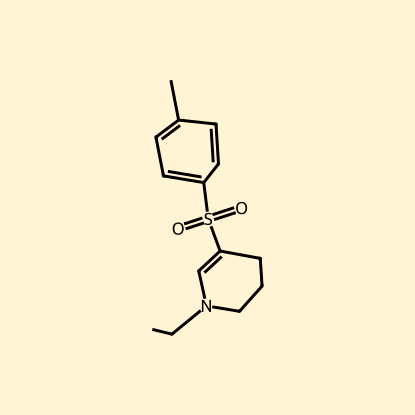 CCN1C=C(S(=O)(=O)c2ccc(C)cc2)CCC1